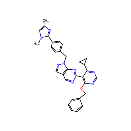 Cc1cn(C)c(-c2ccc(Cn3ncc4cnc(-c5c(OCc6ccccc6)ncnc5C5CC5)nc43)cc2)n1